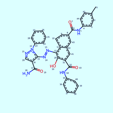 Cc1ccc(NC(=O)c2ccc3c(/N=N/c4c(C(N)=O)cnn4-c4ccccc4)c(O)c(C(=O)Nc4ccccc4)cc3c2)cc1